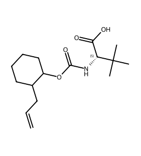 C=CCC1CCCCC1OC(=O)N[C@H](C(=O)O)C(C)(C)C